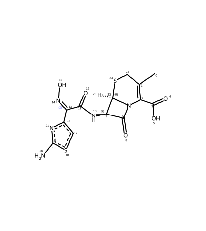 CC1=C(C(=O)O)N2C(=O)[C@@H](NC(=O)/C(=N\O)c3csc(N)n3)[C@H]2SC1